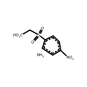 N.O=C(O)CS(=O)(=O)c1ccc([N+](=O)[O-])cc1